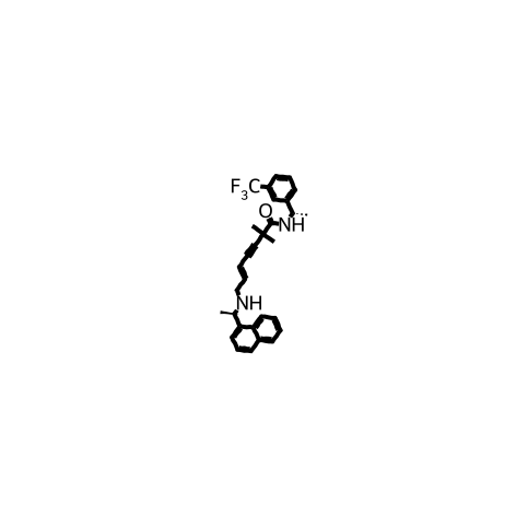 C[C@H](NC(=O)C(C)(C)C#C/C=C/CN[C@H](C)c1cccc2ccccc12)c1cccc(C(F)(F)F)c1